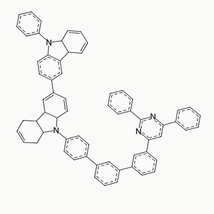 C1=CC2c3cc(C4=CC5C6CC=CCC6N(c6ccc(-c7cccc(-c8cccc(-c9cc(-c%10ccccc%10)nc(-c%10ccccc%10)n9)c8)c7)cc6)C5C=C4)ccc3N(c3ccccc3)C2C=C1